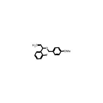 C=CC(OCc1ccc(OC)cc1)c1ccccc1F